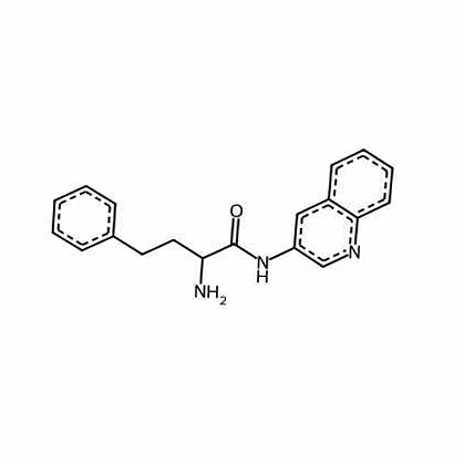 NC(CCc1ccccc1)C(=O)Nc1cnc2ccccc2c1